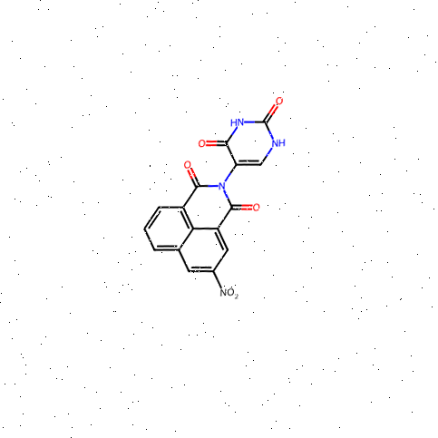 O=C1c2cccc3cc([N+](=O)[O-])cc(c23)C(=O)N1c1c[nH]c(=O)[nH]c1=O